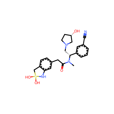 CN(C(=O)Cc1ccc2c(c1)NS(O)(O)C2)[C@H](CN1CC[C@H](O)C1)c1cccc(C#N)c1